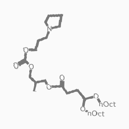 [CH2]C(COC(=O)CCC(OCCCCCCCC)OCCCCCCCC)COC(=O)OCCCN1CCCC1